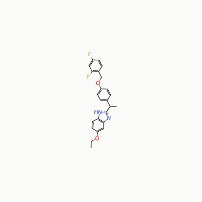 CCOc1ccc2[nH]c(C(C)c3ccc(OCc4ccc(F)cc4F)cc3)nc2c1